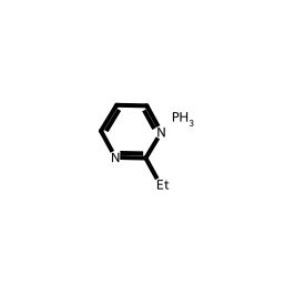 CCc1ncccn1.P